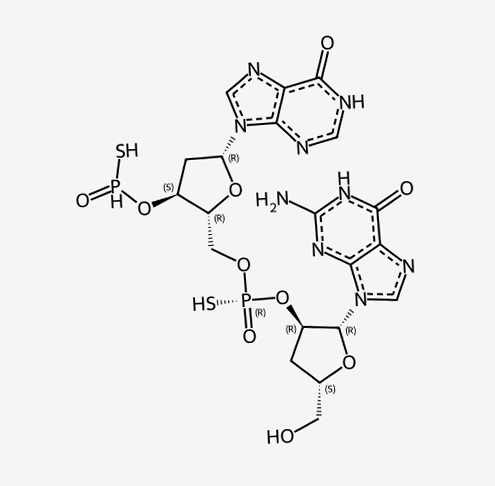 Nc1nc2c(ncn2[C@@H]2O[C@H](CO)C[C@H]2O[P@](=O)(S)OC[C@H]2O[C@@H](n3cnc4c(=O)[nH]cnc43)C[C@@H]2O[PH](=O)S)c(=O)[nH]1